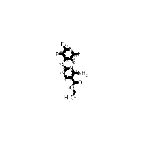 CCOC(=O)c1cnc(Sc2c(F)c(F)nc(F)c2F)nc1N